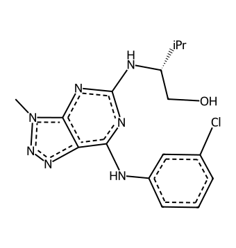 CC(C)[C@H](CO)Nc1nc(Nc2cccc(Cl)c2)c2nnn(C)c2n1